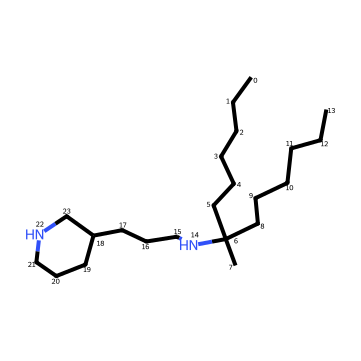 CCCCCCC(C)(CCCCCC)NCCCC1CCCNC1